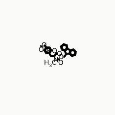 CN(C(=O)OCC1c2ccccc2-c2ccccc21)C(Cc1ccc2c(c1)OCO2)C(=O)O